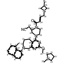 Cc1cccc2cccc(N3CCCc4c(nc(OC[C@@H]5CCCN5C)nc4N4CCN(C(=O)/C=C/CN5CC(F)C5)C(CC#N)C4)C3)c12